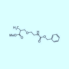 COC(=O)C(C)COCCNC(=O)OCc1ccccc1